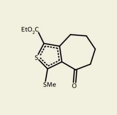 CCOC(=O)c1sc(SC)c2c1CCCCC2=O